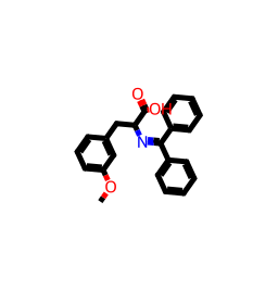 COc1cccc(CC(N=C(c2ccccc2)c2ccccc2)C(=O)O)c1